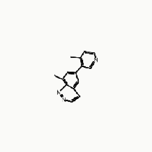 Cc1ccncc1-c1cc(C)c2nnccc2c1